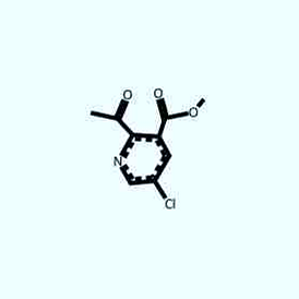 COC(=O)c1cc(Cl)cnc1C(C)=O